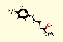 COC(=O)CCCCc1ccc(C(F)(F)F)cc1